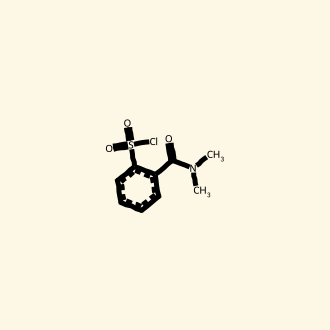 CN(C)C(=O)c1ccccc1S(=O)(=O)Cl